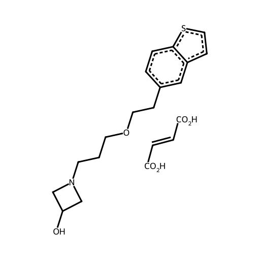 O=C(O)/C=C/C(=O)O.OC1CN(CCCOCCc2ccc3sccc3c2)C1